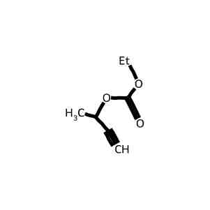 C#CC(C)OC(=O)OCC